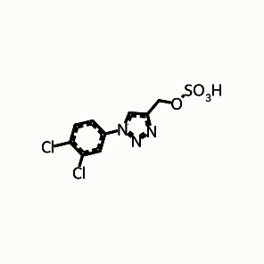 O=S(=O)(O)OCc1cn(-c2ccc(Cl)c(Cl)c2)nn1